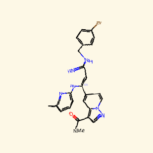 CNC(=O)c1cnn2ccc(/C(=C/C(=N)NCc3ccc(Br)cc3)Nc3cccc(C)n3)cc12